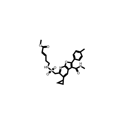 CNC(=O)c1c(-c2ccc(C)cc2)oc2nc(CS(=O)(=O)NCC/C=C/C(=O)OC)c(C3CC3)cc12